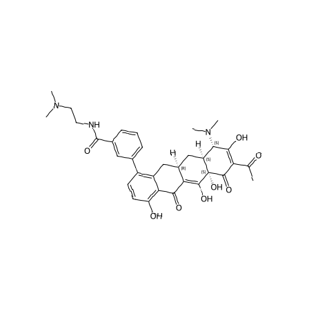 CC(=O)C1=C(O)[C@@H](N(C)C)[C@@H]2C[C@@H]3Cc4c(-c5cccc(C(=O)NCCN(C)C)c5)ccc(O)c4C(=O)C3=C(O)[C@]2(O)C1=O